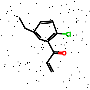 C=CC(=O)c1cc(CC)ccc1Cl